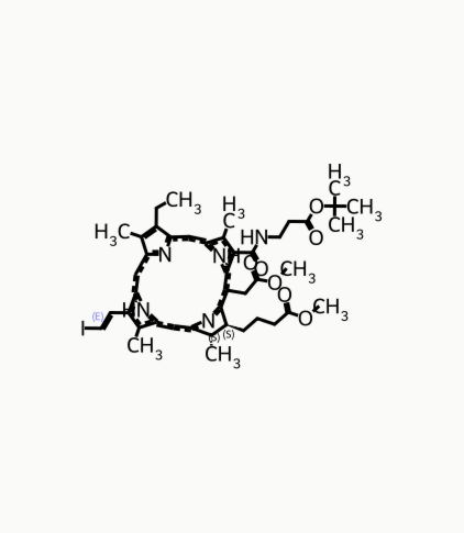 CCC1=C(C)c2cc3[nH]c(cc4nc(c(CC(=O)OC)c5[nH]c(cc1n2)c(C)c5C(=O)NCCC(=O)OC(C)(C)C)[C@@H](CCCC(=O)OC)[C@@H]4C)c(C)c3/C=C/I